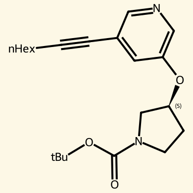 CCCCCCC#Cc1cncc(O[C@H]2CCN(C(=O)OC(C)(C)C)C2)c1